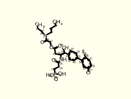 CCCCN(CCCC)C(=O)COC(=O)CC(NC(=O)CCP(=O)(O)O)C(C)c1ccc(-c2cc(Cl)ccc2F)cc1